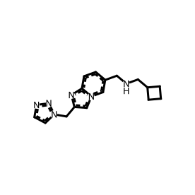 c1cn(Cc2cn3cc(CNCC4CCC4)ccc3n2)nn1